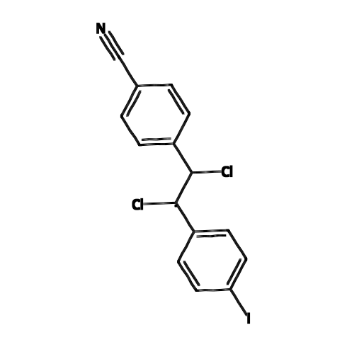 N#Cc1ccc(C(Cl)[C](Cl)c2ccc(I)cc2)cc1